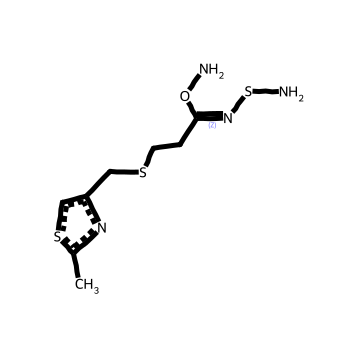 Cc1nc(CSCC/C(=N/SN)ON)cs1